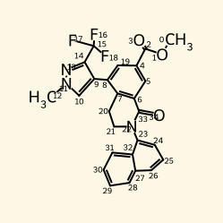 COC(=O)c1cc2c(c(-c3cn(C)nc3C(F)(F)F)c1)CCN(c1cccc3ccccc13)C2=O